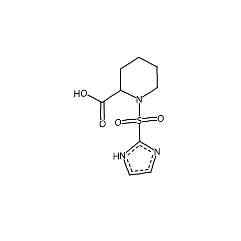 O=C(O)C1CCCCN1S(=O)(=O)c1ncc[nH]1